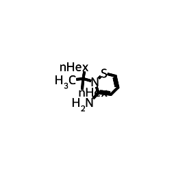 CCCCCCC(C)(CCCCCC)N1SC=CC=C1N